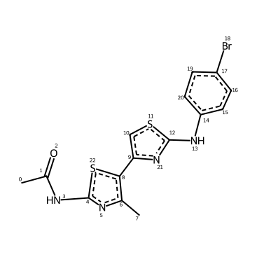 CC(=O)Nc1nc(C)c(-c2csc(Nc3ccc(Br)cc3)n2)s1